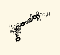 CCn1cc(C(=O)O)c(=O)c2cc(F)c(N3CCN(OCc4ccc(NC(=O)C(C)c5nnc([C@H](NC(=O)OCc6ccccc6)C(C)C)o5)cc4)CC3)cc21